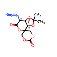 CC1(C)OC2[C@H](N=[N+]=[N-])C(=O)OC3(COC(=O)OC3)[C@@H]2O1